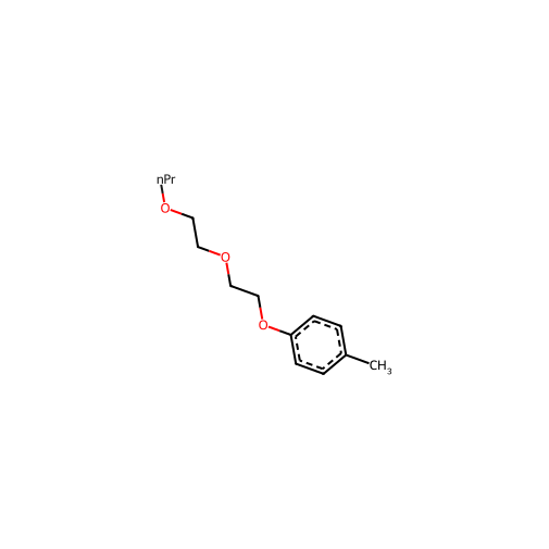 CCCOCCOCCOc1ccc(C)cc1